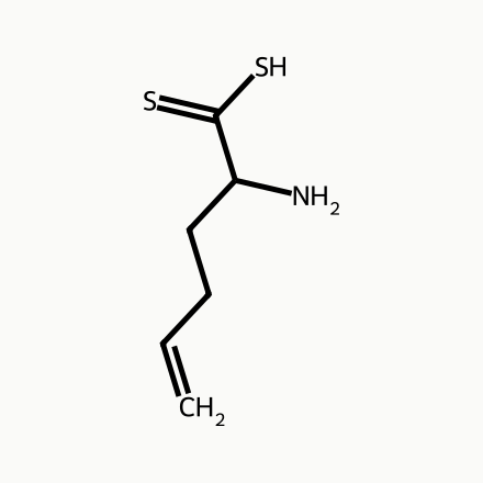 C=CCCC(N)C(=S)S